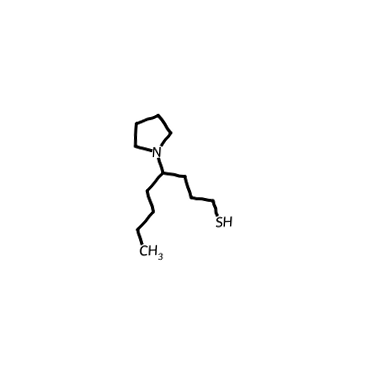 CCCCC(CCCS)N1CCCC1